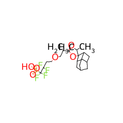 C=C(COCCC(F)(F)C(F)(F)S(=O)(=O)O)C(=O)OC1(C(C)C)C2CC3CC(C2)CC1C3